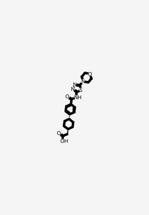 O=C(O)C[C@H]1CC[C@H](c2ccc(C(=O)Nc3nnc(N4CCOCC4)s3)cc2)CC1